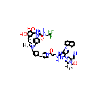 CCc1cc(-c2nnc(C(=O)NCC(F)(F)F)n2-c2ccc(CN(C)Cc3ccc(CC4CCN(C(=O)CCNc5nc6c(c(N7CCN(C(C)=O)[C@H](CC#N)C7)n5)CCN(c5cccc7ccccc57)C6)CC4)cc3)cc2)c(O)cc1O